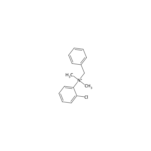 C[N+](C)(Cc1ccccc1)c1ccccc1Cl